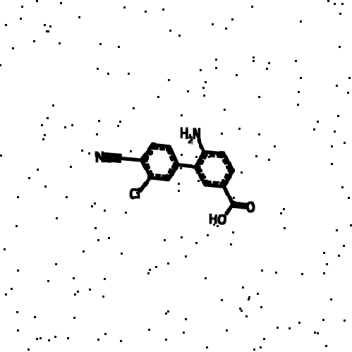 N#Cc1ccc(-c2cc(C(=O)O)ccc2N)cc1Cl